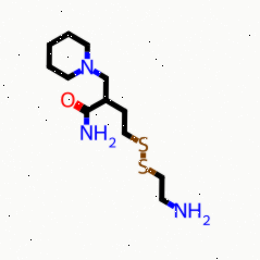 NCCSSCCC(CN1CCCCC1)C(N)=O